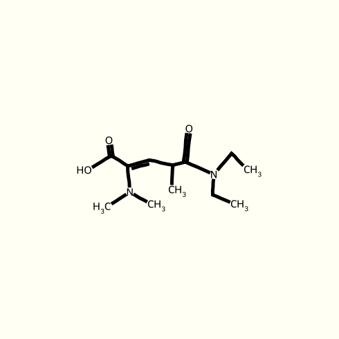 CCN(CC)C(=O)C(C)/C=C(/C(=O)O)N(C)C